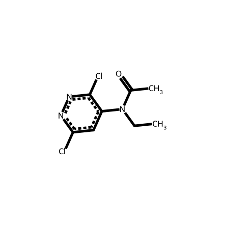 CCN(C(C)=O)c1cc(Cl)nnc1Cl